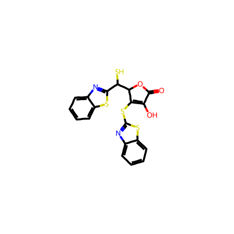 O=C1OC(C(S)c2nc3ccccc3s2)C(Sc2nc3ccccc3s2)=C1O